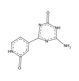 Nc1nc(-c2cc[nH]c(=O)c2)nc(=O)[nH]1